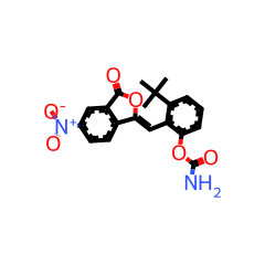 CC(C)(C)c1cccc(OC(N)=O)c1/C=C1\OC(=O)c2cc([N+](=O)[O-])ccc21